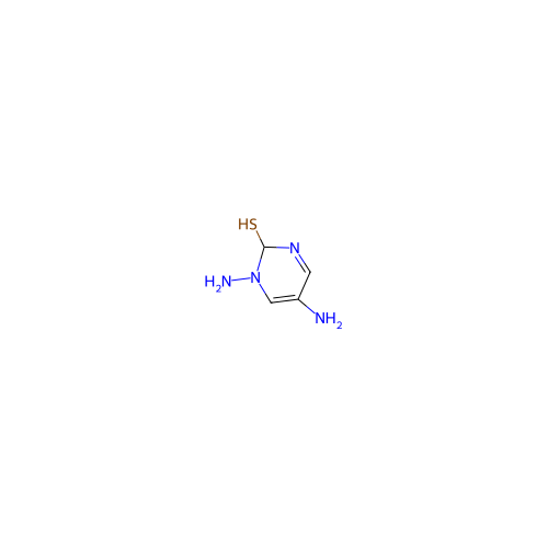 NC1=CN(N)C(S)N=C1